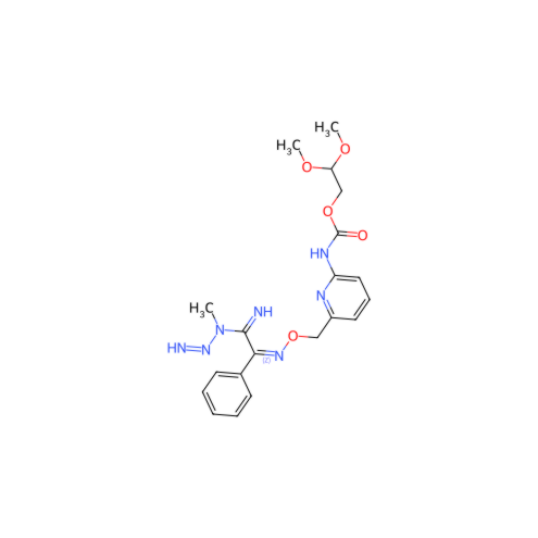 COC(COC(=O)Nc1cccc(CO/N=C(\C(=N)N(C)N=N)c2ccccc2)n1)OC